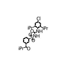 CC(C)C(=O)c1cccc(S(=O)(=O)NC(=O)Nc2c(C(C)C)cc(Cl)cc2C(C)C)c1